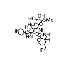 CSC1O[C@H]([C@H](NC(=O)[C@H]2NC[C@@H]3C[C@H](CC(C)C)CCO[C@H]32)[C@H](C)Sc2nnc(N3CCNCC3)s2)C(O)C(O)[C@H]1O